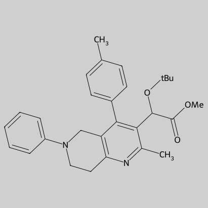 COC(=O)C(OC(C)(C)C)c1c(C)nc2c(c1-c1ccc(C)cc1)CN(c1ccccc1)CC2